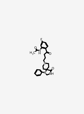 CC(=O)Nc1cc(F)ccc1C(=O)CCCN1CCC2(CC1)C(=O)NCN2c1ccccc1